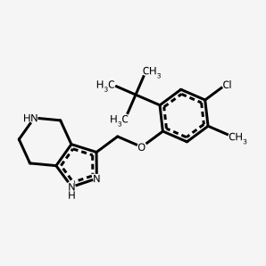 Cc1cc(OCc2n[nH]c3c2CNCC3)c(C(C)(C)C)cc1Cl